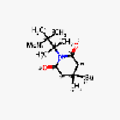 CNC(C)(C)C(C)(C)N1C(=O)CC(C)(C(C)(C)C)CC1=O